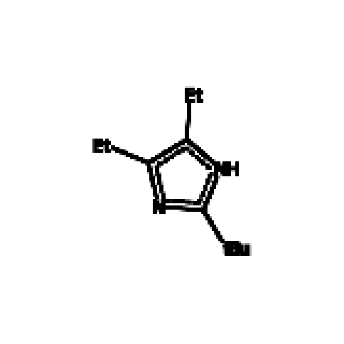 CCc1nc(C(C)(C)C)[nH]c1CC